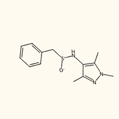 Cc1nn(C)c(C)c1N[S+]([O-])Cc1ccccc1